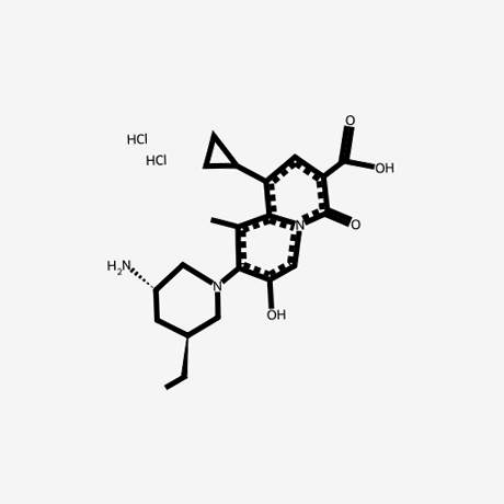 CC[C@H]1C[C@H](N)CN(c2c(O)cn3c(=O)c(C(=O)O)cc(C4CC4)c3c2C)C1.Cl.Cl